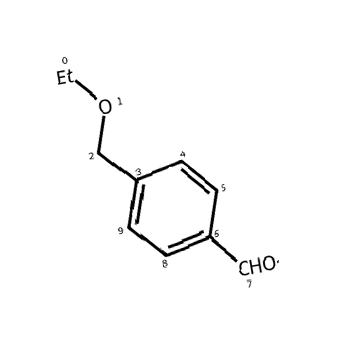 CCOCc1ccc([C]=O)cc1